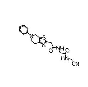 N#CCNC(=O)CNC(=O)Cc1nc2c(s1)CN(c1ccccc1)CC2